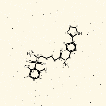 CN(Cc1ccc(C2=NCCN2)cc1)C(=O)CCCCN(C)S(=O)(=O)c1c(Cl)cccc1Cl